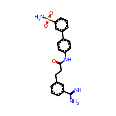 N=C(N)c1cccc(CCC(=O)Nc2ccc(-c3cccc(S(N)(=O)=O)c3)cc2)c1